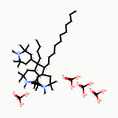 CCCCCCCCCCCC(C1CC(C)(C)N(C)C(C)(C)C1)C(CCCC)(C1CC(C)(C)N(C)C(C)(C)C1)C1CC(C)(C)N(C)C(C)(C)C1.O=C(O)O.O=C(O)O.O=C(O)O.O=C(O)O